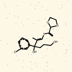 C=C(S/C=C(\C)C(O)(CCCO)c1cccc(Cl)c1)C1OCCO1